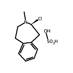 CN1CCc2ccccc2C[C@@H]1Cl.O=S(=O)(O)O